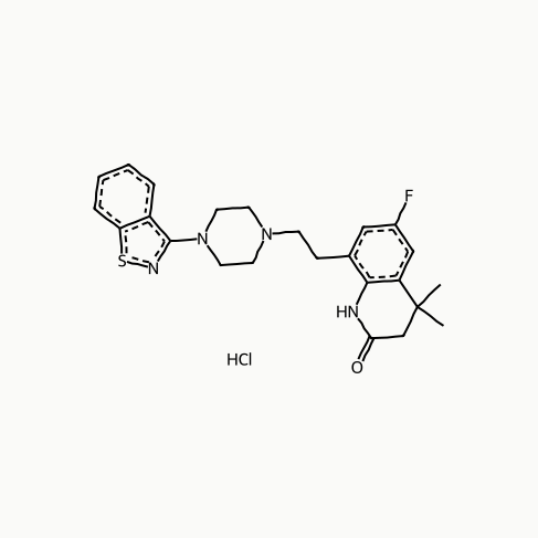 CC1(C)CC(=O)Nc2c(CCN3CCN(c4nsc5ccccc45)CC3)cc(F)cc21.Cl